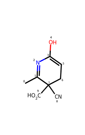 CC1=NC(O)=CCC1(C#N)C(=O)O